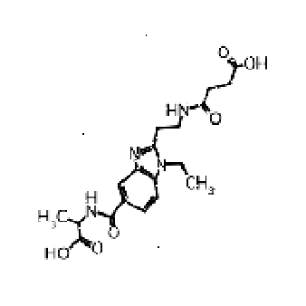 CCn1c(CCNC(=O)CCC(=O)O)nc2cc(C(=O)NC(C)C(=O)O)ccc21